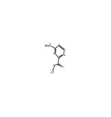 COc1ccnc(C(=O)CCl)c1